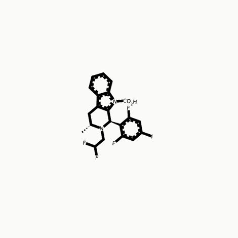 C[C@@H]1Cc2c(n(C(=O)O)c3ccccc23)[C@@H](c2c(F)cc(I)cc2F)N1CC(F)F